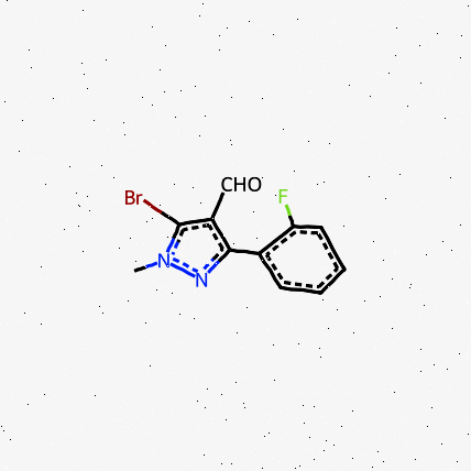 Cn1nc(-c2ccccc2F)c(C=O)c1Br